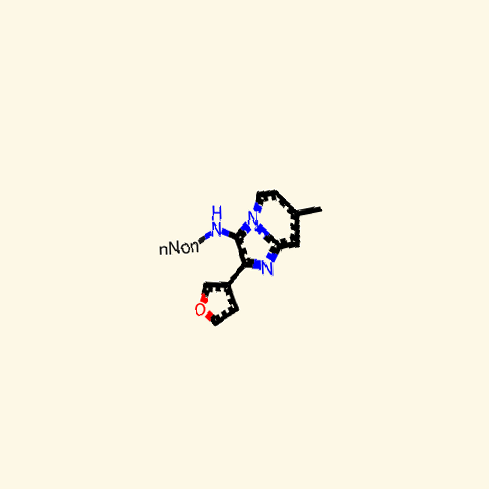 CCCCCCCCCNc1c(-c2ccoc2)nc2cc(C)ccn12